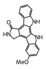 COc1ccc2[nH]c3c4[nH]c5ccccc5c4c4c(c3c2c1)CNC4=O